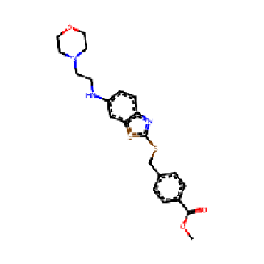 COC(=O)c1ccc(CSc2nc3ccc(NCCN4CCOCC4)cc3s2)cc1